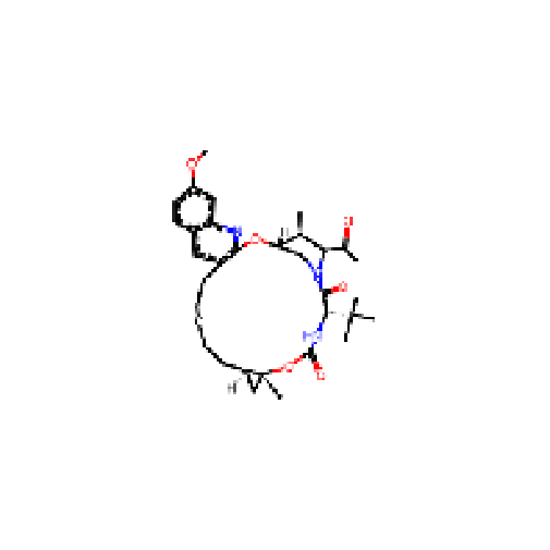 COc1ccc2cc3c(nc2c1)O[C@H]1CN(C(=O)[C@H](C(C)(C)C)NC(=O)O[C@]2(C)C[C@H]2CCCCC3)[C@H](C(C)=O)[C@@H]1C